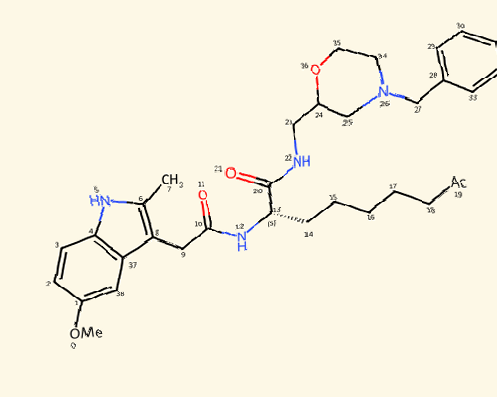 COc1ccc2[nH]c(C)c(CC(=O)N[C@@H](CCCCCC(C)=O)C(=O)NCC3CN(Cc4ccccc4)CCO3)c2c1